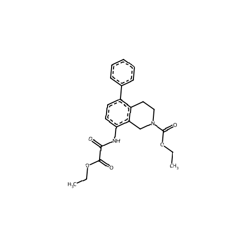 CCOC(=O)C(=O)Nc1ccc(-c2ccccc2)c2c1CN(C(=O)OCC)CC2